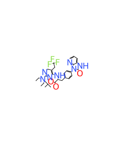 CCN(CC)c1ncc(CC(F)(F)F)c(NC(Cc2ccc(-n3c(=O)[nH]c4cccnc43)cc2)C(=O)OC(C)(C)C)n1